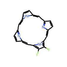 Fc1c(F)c2cc3nc(cc4ccc(cc5nc(cc1[nH]2)C=C5)[nH]4)C=C3